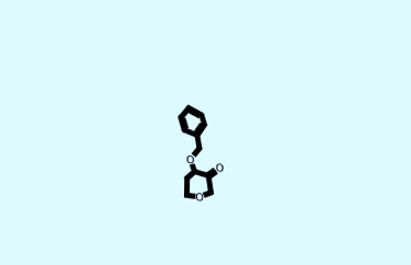 O=C1COCCC1OCc1ccccc1